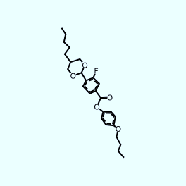 CCCCCC1COC(c2ccc(C(=O)Oc3ccc(OCCCC)cc3)cc2F)OC1